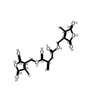 C=C(CC(=O)OCC1=C(C)C(=O)OC1=O)C(=O)OCC1=C(C)C(=O)OC1=O